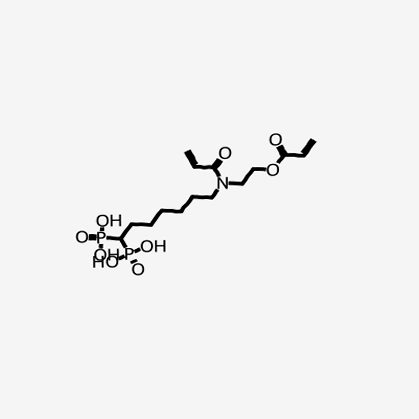 C=CC(=O)OCCN(CCCCCCC(P(=O)(O)O)P(=O)(O)O)C(=O)C=C